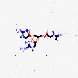 CC(=N)N(C)CC(=O)OCC(COC(=O)CN(C)C(=N)N)OC(=O)CN(C)C(=N)N